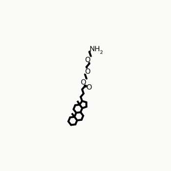 CC12CCCCC1CCC1C2CCC2(C)C(CCCC(=O)OCCOCCOCCN)CCC12